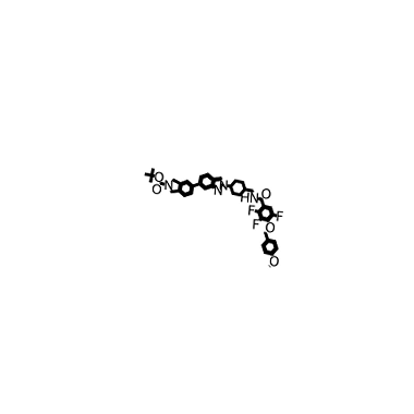 COc1ccc(COc2c(F)cc(C(=O)NCC3CCC(n4cc5ccc(-c6ccc7c(c6)CN(C(=O)OC(C)(C)C)C7)cc5n4)CC3)c(F)c2F)cc1